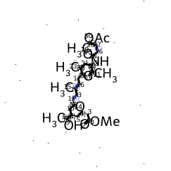 COC(=O)C[C@@H]1C[C@@H]([C@@H](C)O)C[C@@H](/C=C/C(C)=C/C[C@@H]2O[C@H](C)[C@H](NC(=O)/C=C\[C@H](C)OC(C)=O)C[C@@H]2C)O1